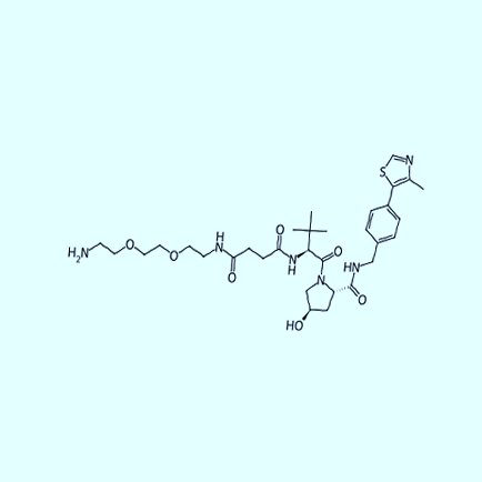 Cc1ncsc1-c1ccc(CNC(=O)[C@@H]2C[C@@H](O)CN2C(=O)[C@@H](NC(=O)CCC(=O)NCCOCCOCCN)C(C)(C)C)cc1